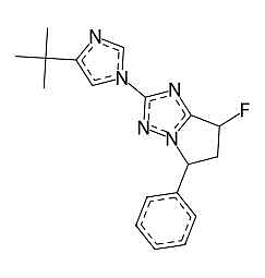 CC(C)(C)c1cn(-c2nc3n(n2)C(c2ccccc2)CC3F)cn1